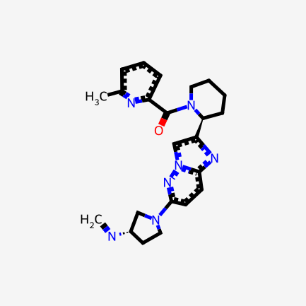 C=N[C@H]1CCN(c2ccc3nc([C@@H]4CCCCN4C(=O)c4cccc(C)n4)cn3n2)C1